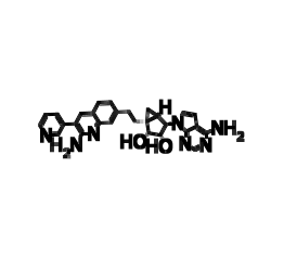 Nc1nc2cc(CC[C@]34C[C@@H]3[C@@H](n3ccc5c(N)ncnc53)[C@H](O)[C@@H]4O)ccc2cc1-c1cccnc1